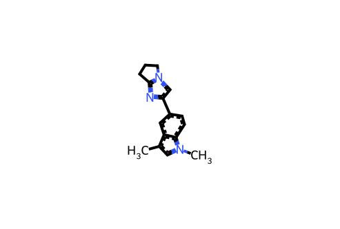 Cc1cn(C)c2ccc(-c3cn4c(n3)CCC4)cc12